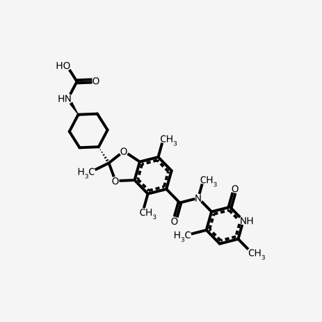 Cc1cc(C)c(N(C)C(=O)c2cc(C)c3c(c2C)OC(C)([C@H]2CC[C@H](NC(=O)O)CC2)O3)c(=O)[nH]1